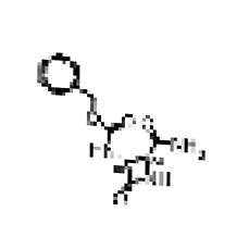 NC(=O)[C@H]1NC(=O)[C@@H]1NC(=O)OCc1ccccc1